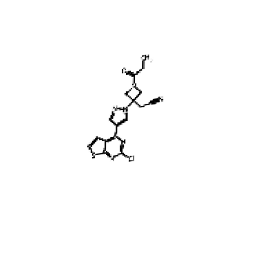 CCC(=O)N1CC(CC#N)(n2cc(-c3nc(Cl)nc4sccc34)cn2)C1